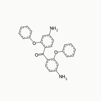 Nc1ccc(C(=O)c2ccc(N)cc2Oc2ccccc2)c(Oc2ccccc2)c1